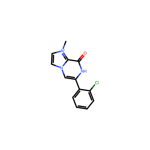 C[n+]1ccn2cc(-c3ccccc3Cl)[nH]c(=O)c21